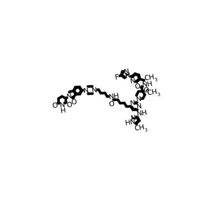 COC1(C(=O)N[C@@H](C)c2ccc(-n3cc(F)cn3)nc2)CCN(c2nc(CCCCC(=O)NCCCCN3CCN(c4ccc5c(c4)C(=O)N(C4CCC(=O)NC4=O)C5)CC3)cc(Nc3cc(C)[nH]n3)n2)CC1